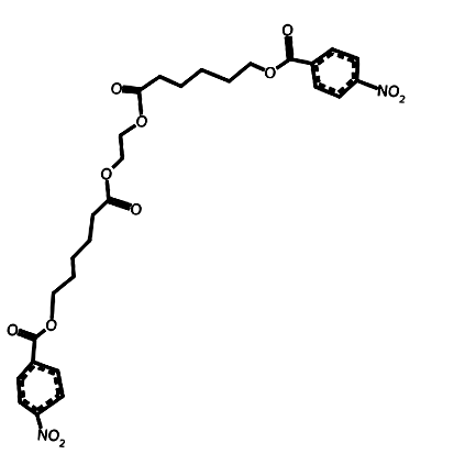 O=C(CCCCCOC(=O)c1ccc([N+](=O)[O-])cc1)OCCOC(=O)CCCCCOC(=O)c1ccc([N+](=O)[O-])cc1